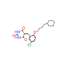 O=C1NC(=O)C(=Cc2cc(Cl)ccc2OCCCCC2CCCCC2)C(=O)N1